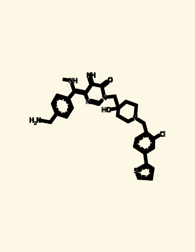 CN/C(=C1/N=CN(CC2(O)CCN(Cc3ccc(-c4cccs4)cc3Cl)CC2)C(=O)C1=N)c1ccc(CN)cc1